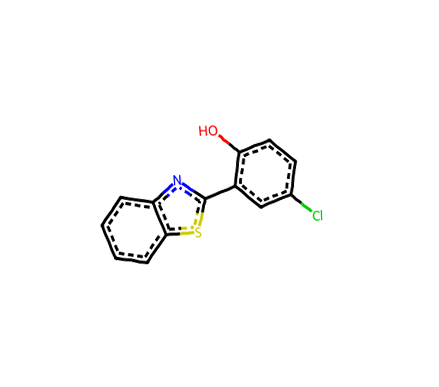 Oc1ccc(Cl)cc1-c1nc2ccccc2s1